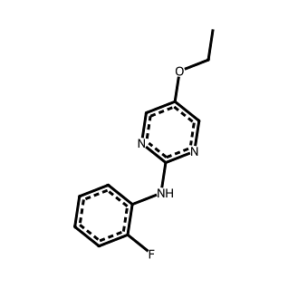 CCOc1cnc(Nc2ccccc2F)nc1